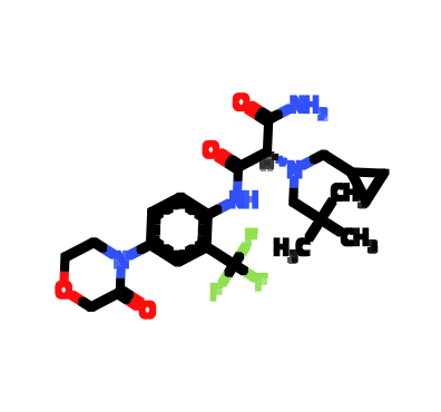 CC(C)(C)CN(CC1CC1)[C@@H](C(N)=O)C(=O)Nc1ccc(N2CCOCC2=O)cc1C(F)(F)F